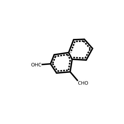 O=Cc1cc(C=O)c2ccccc2c1